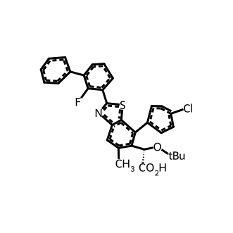 Cc1cc2nc(-c3cccc(-c4ccccc4)c3F)sc2c(-c2ccc(Cl)cc2)c1[C@H](OC(C)(C)C)C(=O)O